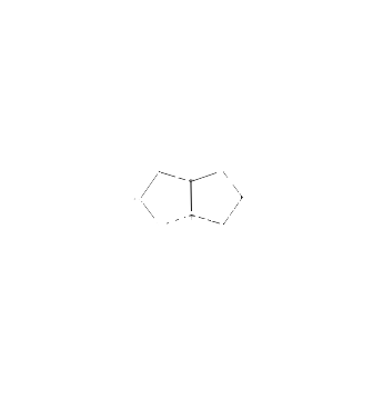 C1CC2CCSC2C1